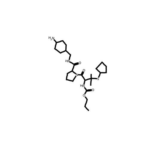 CCCOC(=O)NC(C(=O)N1CCCC1C(=O)NCC1CCC(N)CC1)C(C)(C)SC1CCCC1